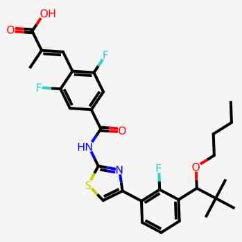 CCCCOC(c1cccc(-c2csc(NC(=O)c3cc(F)c(/C=C(\C)C(=O)O)c(F)c3)n2)c1F)C(C)(C)C